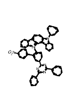 O=[N+]([O-])c1ccc(-c2cc(-c3nc(-c4ccccc4)nc(-c4ccccc4)n3)ccc2-n2c3ccccc3c3ccc4c(c5ccccc5n4-c4ccccc4)c32)cc1